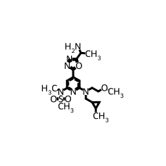 COCCN(CC1CC1C)c1cc(-c2nnc(C(C)N)o2)cc(N(C)S(C)(=O)=O)n1